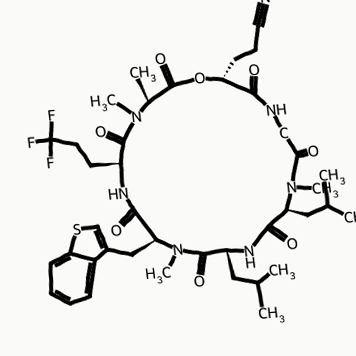 CC(C)C[C@@H]1NC(=O)[C@H](CC(C)C)N(C)C(=O)CNC(=O)[C@@H](CCC#N)OC(=O)[C@H](C)N(C)C(=O)[C@H](CCC(F)(F)F)NC(=O)[C@H](Cc2csc3ccccc23)N(C)C1=O